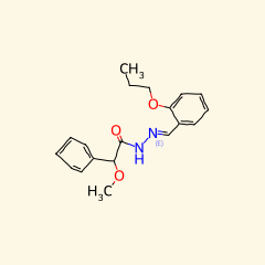 CCCOc1ccccc1/C=N/NC(=O)C(OC)c1ccccc1